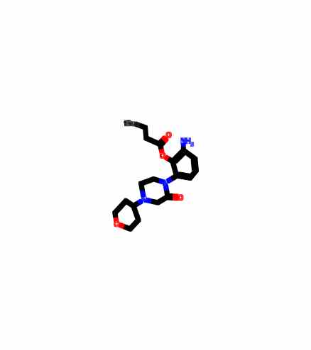 CC(C)(C)CCC(=O)Oc1c(N)cccc1N1CCN(C2CCOCC2)CC1=O